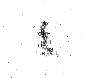 CC(C)C(=O)NCc1ccc(Cl)c(C(=O)Nc2ccc3c(c2)cc(C(=O)NCc2ccc([N+](=O)[O-])cc2)n3C)c1